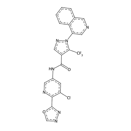 O=C(Nc1cnc(-c2nnco2)c(Cl)c1)c1cnn(-c2cncc3ccccc23)c1C(F)(F)F